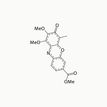 COC(=O)c1ccc2nc3c(OC)c(OC)c(=O)c(C)c-3oc2c1